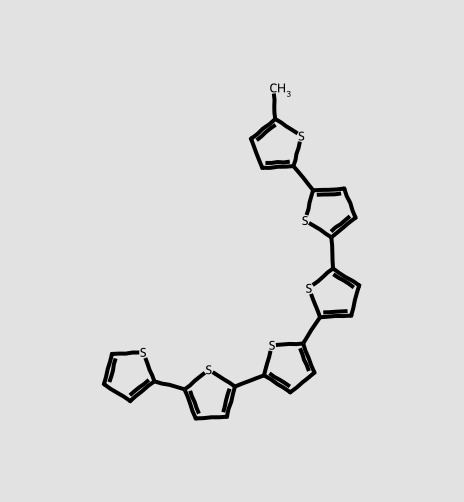 Cc1ccc(-c2ccc(-c3ccc(-c4ccc(-c5ccc(-c6cccs6)s5)s4)s3)s2)s1